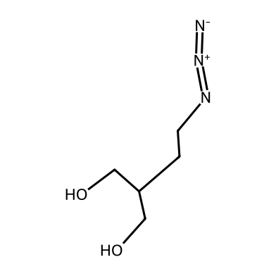 [N-]=[N+]=NCCC(CO)CO